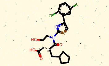 O=C(O)C[C@@H](CC1CCCC1)C(=O)N(CCO)c1nc(-c2cc(Cl)ccc2Cl)cs1